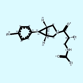 CCC(=O)NC[C@@H](CC)C(=O)N1C[C@@H]2[C@H](C1)[C@H]2c1ccc(C(C)C)cc1